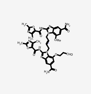 COc1cc(C(N)=O)cc2nc(NC(=O)c3oc(C)nc3C)n(C/C=C/Cn3c(NC(=O)c4oc(C)nc4C)nc4cc(C(N)=O)cc(OCCC=O)c43)c12